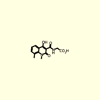 Cc1cccc2c(O)c(C(=O)NCC(=O)O)c(=O)n(C)c12